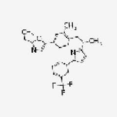 CCc1ncc(-c2ccc(CC(C)n3ccc(-c4cccc(C(F)(F)F)c4)n3)c(C)c2)o1